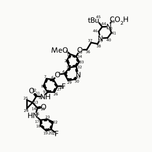 COc1cc2c(Oc3ccc(NC(=O)C4(C(=O)Nc5ccc(F)cc5)CC4)cc3F)ccnc2cc1OCCCN1CCN(C(=O)O)C(C(C)(C)C)C1